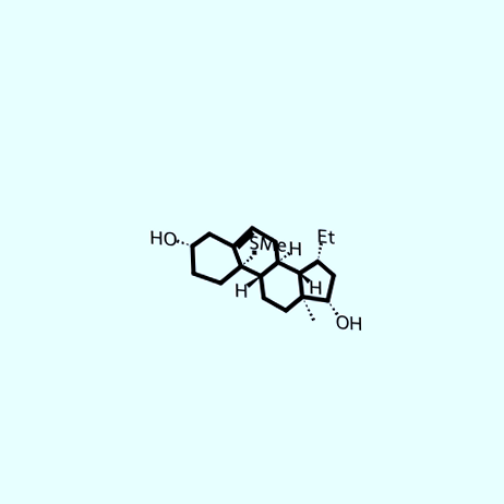 CC[C@@H]1C[C@H](O)[C@@]2(C)CC[C@H]3[C@@H](CC=C4C[C@@H](O)CC[C@@]43CSC)[C@H]12